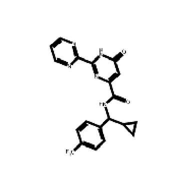 O=C(NC(c1ccc(C(F)(F)F)cc1)C1CC1)c1cc(=O)[nH]c(-c2ncccn2)n1